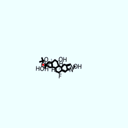 CC1(C)O[C@@H]2C[C@H]3[C@@H]4C[C@H](F)C5=Cc6nn(O)cc6C[C@]5(C)[C@H]4[C@@H](O)C[C@]3(C)[C@]2(C(=O)CO)O1